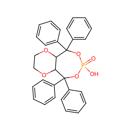 O=P1(O)OC(c2ccccc2)(c2ccccc2)C2OCCOC2C(c2ccccc2)(c2ccccc2)O1